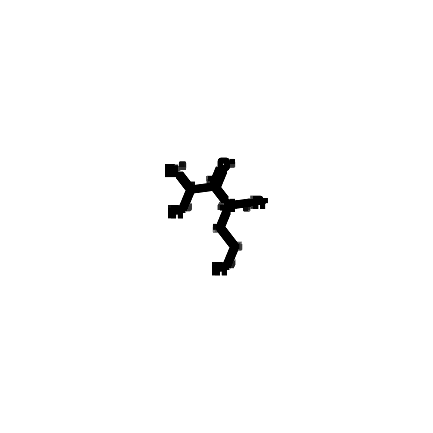 CCC(C(=O)N(CCC(C)C)C(C)C)C(C)C